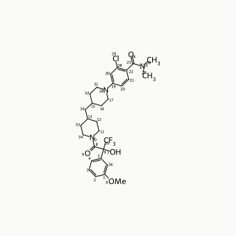 COc1cccc(C(O)(C(=O)N2CCC(CC3CCN(c4ccc(C(=O)N(C)C)c(Cl)c4)CC3)CC2)C(F)(F)F)c1